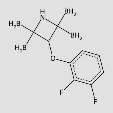 BC1(B)NC(B)(B)C1Oc1cccc(F)c1F